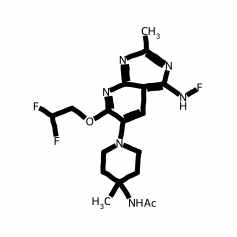 CC(=O)NC1(C)CCN(c2cc3c(NF)nc(C)nc3nc2OCC(F)F)CC1